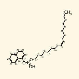 CCCCCCCC/C=C\CCCCCCCCOP(O)Oc1cccc2ccccc12